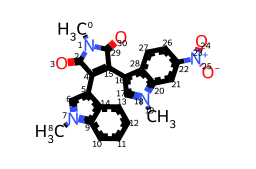 CN1C(=O)C(c2cn(C)c3ccccc23)=C(c2cn(C)c3cc([N+](=O)[O-])ccc23)C1=O